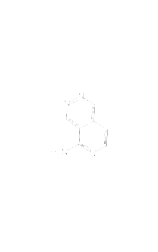 Nc1nccc2cnncc12